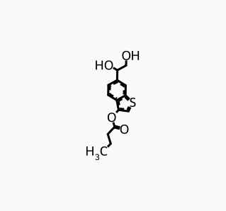 CCCC(=O)Oc1csc2cc(C(O)CO)ccc12